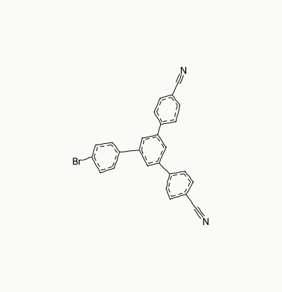 N#Cc1ccc(-c2cc(-c3ccc(Br)cc3)cc(-c3ccc(C#N)cc3)c2)cc1